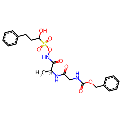 C[C@H](NC(=O)CNC(=O)OCc1ccccc1)C(=O)NOS(=O)(=O)C(O)CCc1ccccc1